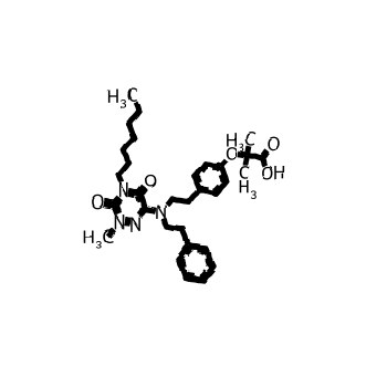 CCCCCCCn1c(=O)c(N(CCc2ccccc2)CCc2ccc(OC(C)(C)C(=O)O)cc2)nn(C)c1=O